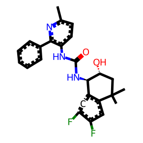 Cc1ccc(NC(=O)N[C@@H]2c3cc(F)c(F)cc3C(C)(C)C[C@H]2O)c(-c2ccccc2)n1